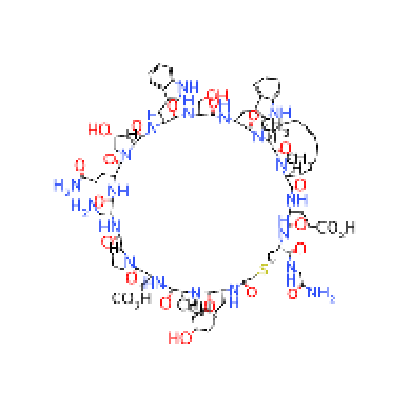 C[C@H]1C(=O)N[C@@H](CC(=O)O)C(=O)N2CCC[C@H]2C(=O)N[C@@H](CN)C(=O)N[C@@H](CCC(N)=O)C(=O)N2C[C@H](O)C[C@H]2C(=O)N[C@@H](Cc2c[nH]c3ccccc23)C(=O)N[C@@H](CO)C(=O)N[C@@H](Cc2c[nH]c3ccccc23)C(=O)N(C)[C@H]2CCC/C=C\CCCC[C@@H](C(=O)N[C@@H](CCC(=O)O)C(=O)N[C@H](C(=O)NCC(N)=O)CSCC(=O)N[C@@H](Cc3ccc(O)cc3)C(=O)N1C)N(C)C2=O